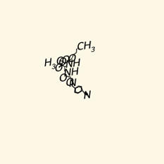 CCCCOC(=O)N[C@@H](CNC(=O)CON=Cc1ccc(C#N)cc1)C(=O)OC